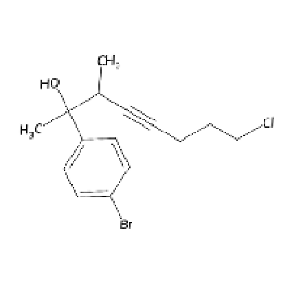 CC(C#CCCCCl)C(C)(O)c1ccc(Br)cc1